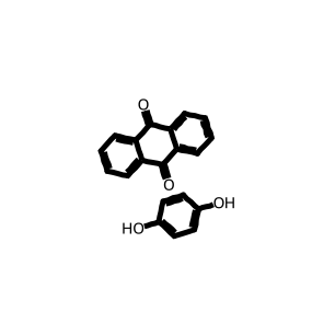 O=C1c2ccccc2C(=O)c2ccccc21.Oc1ccc(O)cc1